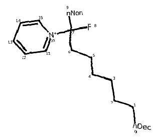 CCCCCCCCCCCCCCCCC(F)(CCCCCCCCC)[n+]1ccccc1